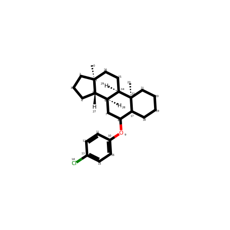 C[C@@]12CCC[C@H]1[C@@H]1CC(Oc3ccc(Cl)cc3)C3CCCC[C@]3(C)[C@@H]1CC2